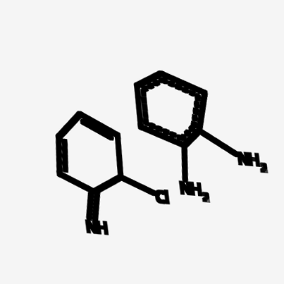 N=C1C=CC=CC1Cl.Nc1ccccc1N